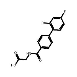 O=C(O)CNC(=O)c1ccc(-c2ccc(F)cc2F)cc1